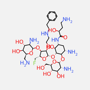 NCC[C@H](O)C(=O)N[C@@H]1C[C@H](N)[C@@H](O[C@H]2O[C@H](CO)[C@@H](O)[C@H](O)[C@H]2N)[C@H](O[C@@H]2O[C@H](CF)[C@@H](O[C@H]3O[C@@H](CN)[C@@H](O)[C@H](O)[C@H]3N)[C@H]2OCCNCCc2ccccc2)[C@H]1O